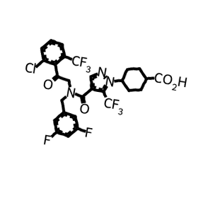 O=C(CN(Cc1cc(F)cc(F)c1)C(=O)c1cnn(C2CCC(C(=O)O)CC2)c1C(F)(F)F)c1c(Cl)cccc1C(F)(F)F